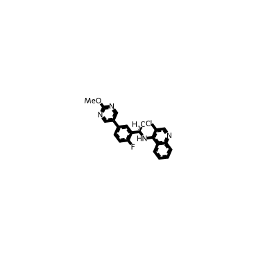 COc1ncc(-c2ccc(F)c([C@@H](C)Nc3c(Cl)cnc4ccccc34)c2)cn1